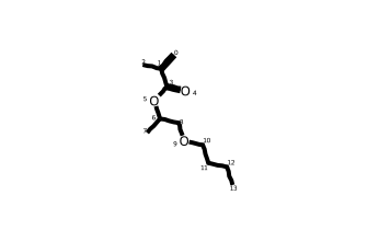 C=C(C)C(=O)OC(C)COCCCC